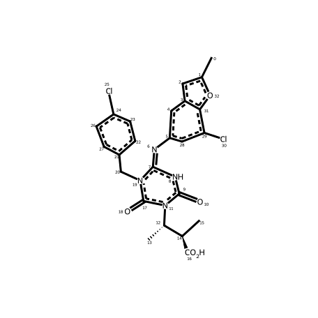 Cc1cc2cc(/N=c3\[nH]c(=O)n([C@@H](C)[C@@H](C)C(=O)O)c(=O)n3Cc3ccc(Cl)cc3)cc(Cl)c2o1